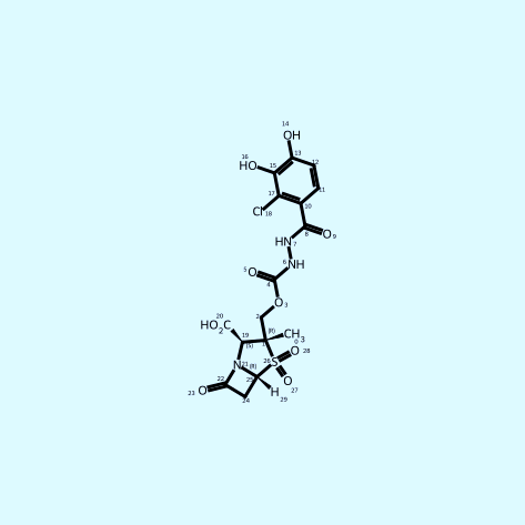 C[C@]1(COC(=O)NNC(=O)c2ccc(O)c(O)c2Cl)[C@H](C(=O)O)N2C(=O)C[C@H]2S1(=O)=O